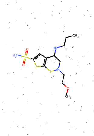 CCCNC1CN(CCOC)Sc2sc(S(N)(=O)=O)cc21